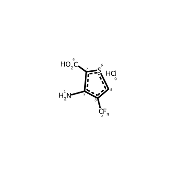 Cl.Nc1c(C(F)(F)F)csc1C(=O)O